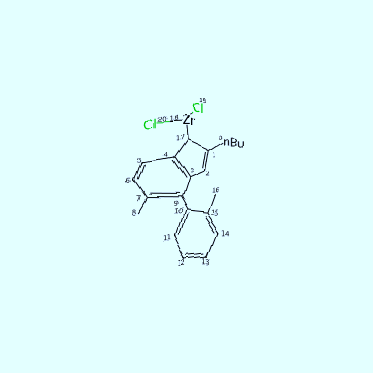 CCCCC1=Cc2c(ccc(C)c2-c2ccccc2C)[CH]1[Zr]([Cl])[Cl]